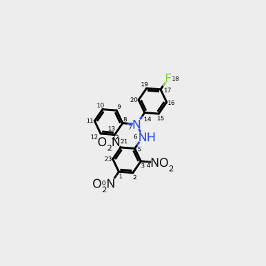 O=[N+]([O-])c1cc([N+](=O)[O-])c(NN(c2ccccc2)c2ccc(F)cc2)c([N+](=O)[O-])c1